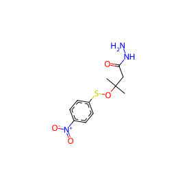 CC(C)(CC(=O)NN)OSc1ccc([N+](=O)[O-])cc1